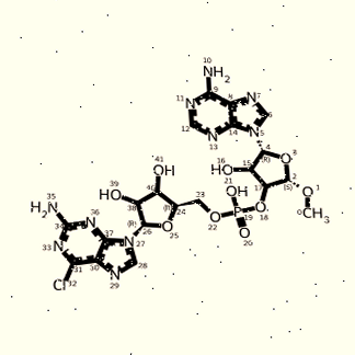 CO[C@H]1O[C@@H](n2cnc3c(N)ncnc32)C(O)C1OP(=O)(O)OC[C@H]1O[C@@H](n2cnc3c(Cl)nc(N)nc32)C(O)C1O